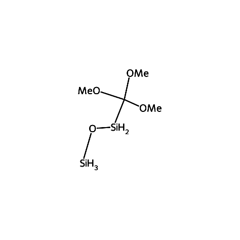 COC(OC)(OC)[SiH2]O[SiH3]